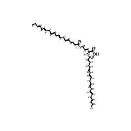 CCC=CCC=CCC=CCC=CCC=CCCCC(=O)NCCC[C@H](NC(=O)CCCC=CCC=CCC=CCC=CCC=CCC)C(=O)O